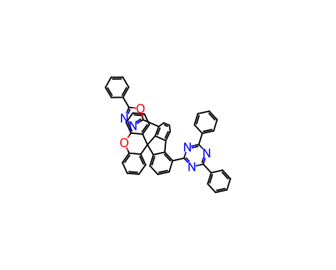 c1ccc(-c2nc(-c3ccccc3)nc(-c3cccc4c3-c3cccc(-c5nnc(-c6ccccc6)o5)c3C43c4ccccc4Oc4ccccc43)n2)cc1